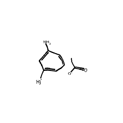 CC(=O)[O-].Nc1ccc[c]([Hg+])c1